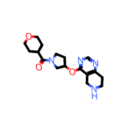 O=C(C1CCOCC1)N1CCC(Oc2ncnc3c2CNCC3)C1